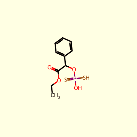 CCOC(=O)C(OP(O)(=S)S)c1ccccc1